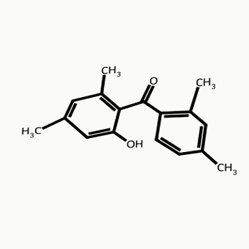 Cc1ccc(C(=O)c2c(C)cc(C)cc2O)c(C)c1